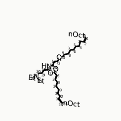 CCCCCCCC/C=C\CCCCCCCCOCCC(NC(=O)CCCN(CC)CC)OCCCCCCCC/C=C\CCCCCCCC